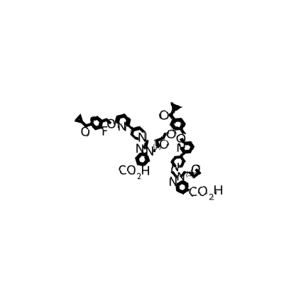 O=C(O)c1ccc2nc(CN3CCC(c4cccc(OCc5ccc(C(=O)C6CC6)cc5OCC5C[C@@H](Cn6c(CN7CC=C(c8cccc(OCc9ccc(C(=O)C%10CC%10)cc9F)n8)CC7)nc7ccc(C(=O)O)cc76)O5)n4)CC3)n(C[C@@H]3CCO3)c2c1